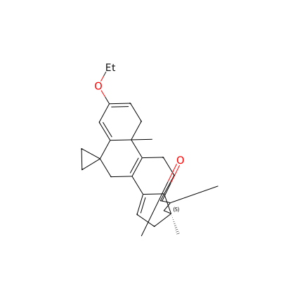 CCOC1=CCC2(C)C(=C1)C1(CC1)CC1=C2CCC23C(=O)C(C)C[C@]2(C)CC=C13